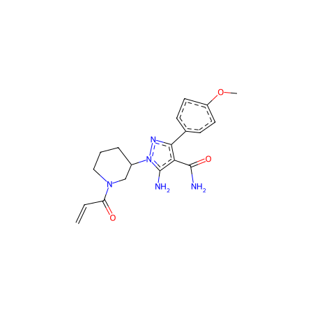 C=CC(=O)N1CCCC(n2nc(-c3ccc(OC)cc3)c(C(N)=O)c2N)C1